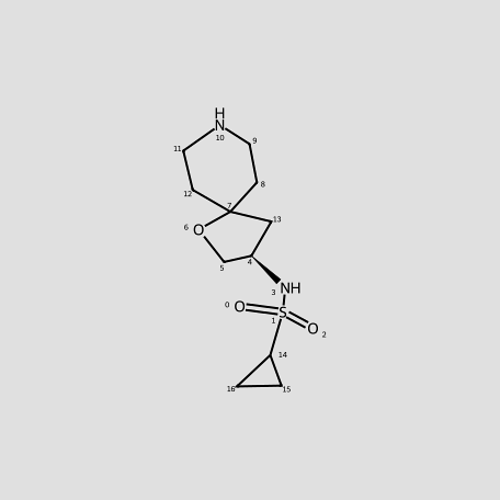 O=S(=O)(N[C@H]1COC2(CCNCC2)C1)C1CC1